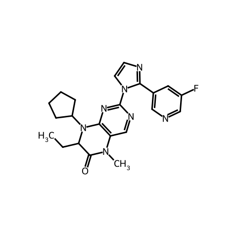 CCC1C(=O)N(C)c2cnc(-n3ccnc3-c3cncc(F)c3)nc2N1C1CCCC1